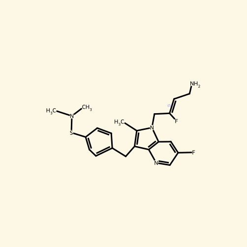 Cc1c(Cc2ccc(SN(C)C)cc2)c2ncc(F)cc2n1C/C(F)=C/CN